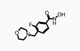 O=C(NO)c1ccc(CN2CCOCC2)c(F)c1